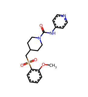 COc1ccccc1S(=O)(=O)CC1CCN(C(=O)Nc2ccncc2)CC1